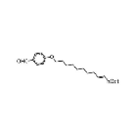 CCCCCCCCC=CCCCCCCCCOc1ccc(C=O)cc1